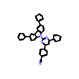 N#Cc1ccc(-c2cc(-c3ccccc3)nc(-n3c4ccc(-c5ccccc5)cc4c4cc(-c5ccccc5)ccc43)n2)cc1